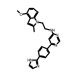 COc1cccc2c1cc(C)n2CCNc1cc(-c2ccc(-c3ncc[nH]3)cc2)ncn1